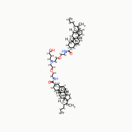 CC(C)CCC[C@@H](C)[C@@H]1CC[C@H]2[C@@H]3CC=C4C[C@H](C(=O)NCCOCCN(CCCO)CCOCCNC(=O)[C@@H]5CC[C@]6(C)C(=CC[C@@H]7[C@H]8CC[C@H]([C@@H](C)CCCC(C)C)[C@]8(C)CC[C@H]76)C5)CC[C@]4(C)[C@H]3CC[C@@]21C